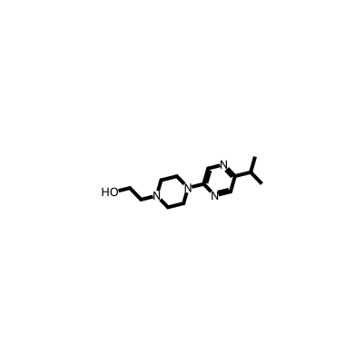 CC(C)c1cnc(N2CCN(CCO)CC2)cn1